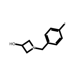 OC1CN(Cc2ccc(I)cc2)C1